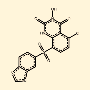 O=c1[nH]c2c(S(=O)(=O)c3ccc4scnc4c3)ccc(Cl)c2c(=O)n1O